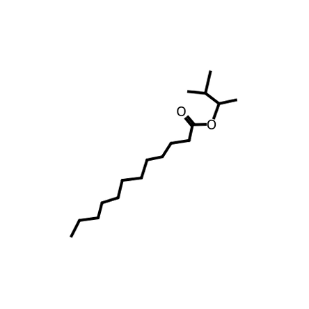 CCCCCCCCCCCC(=O)OC(C)C(C)C